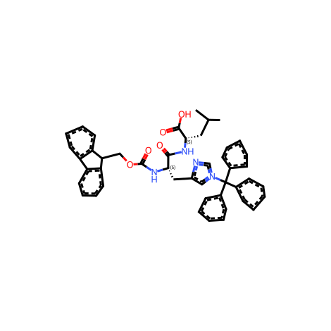 CC(C)C[C@H](NC(=O)[C@H](Cc1cn(C(c2ccccc2)(c2ccccc2)c2ccccc2)cn1)NC(=O)OCC1c2ccccc2-c2ccccc21)C(=O)O